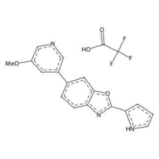 COc1cncc(-c2ccc3nc(-c4ccc[nH]4)oc3c2)c1.O=C(O)C(F)(F)F